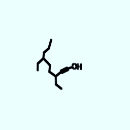 CCCC(CC)CCC(C#CO)CC